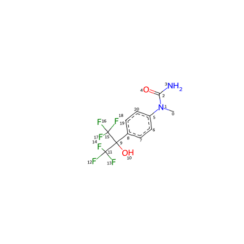 CN(C(N)=O)c1ccc(C(O)(C(F)(F)F)C(F)(F)F)cc1